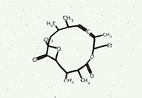 CCC1OC(=O)C(C)C(C)C2OC(C)(CC(C)C(C)C=C=C1C)C2=O